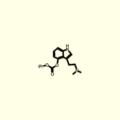 CC(C)OC(=O)Oc1cccc2[nH]cc(CCN(C)C)c12